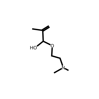 C=C(C)C(O)OCCN(C)C